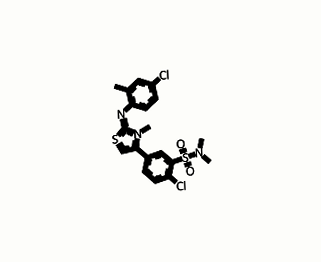 Cc1cc(Cl)ccc1/N=c1/scc(-c2ccc(Cl)c(S(=O)(=O)N(C)C)c2)n1C